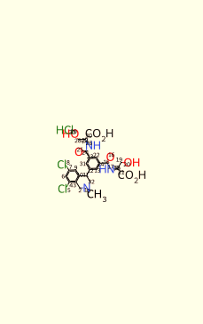 CN1Cc2c(Cl)cc(Cl)cc2C(c2cc(C(=O)N[C@@H](CO)C(=O)O)cc(C(=O)N[C@@H](CO)C(=O)O)c2)C1.Cl